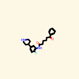 O=C(CCCCC(=O)c1ccccc1)Nc1cc(C2CCNCC2)ccc1F